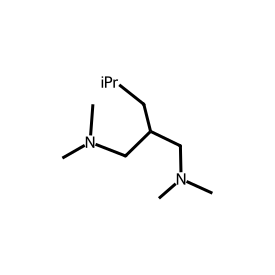 CC(C)CC(CN(C)C)CN(C)C